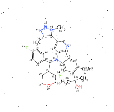 COc1cc2c3ncc(-c4c(C)nnn4C)cc3n(C(c3ccc(F)cc3)C3CCOCC3)c2c(F)c1C(C)(C)O